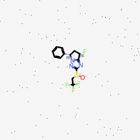 [O-][S+](CC(F)(F)F)c1nc2n(n1)[C@H](c1ccccc1)C[C@@H]2F